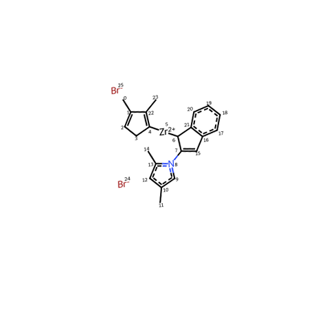 CC1=CC[C]([Zr+2][CH]2C(n3cc(C)cc3C)=Cc3ccccc32)=C1C.[Br-].[Br-]